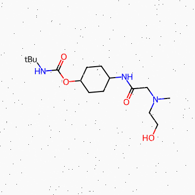 CN(CCO)CC(=O)NC1CCC(OC(=O)NC(C)(C)C)CC1